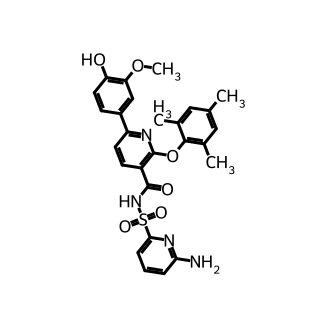 COc1cc(-c2ccc(C(=O)NS(=O)(=O)c3cccc(N)n3)c(Oc3c(C)cc(C)cc3C)n2)ccc1O